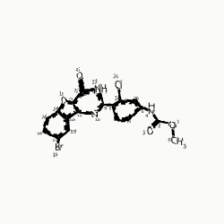 COC(=O)Nc1ccc(-c2nc3c(oc4ccc(Br)cc43)c(=O)[nH]2)c(Cl)c1